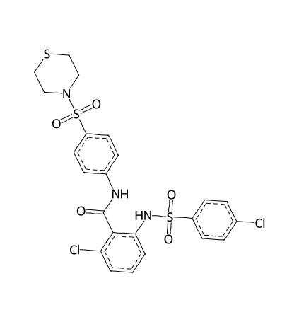 O=C(Nc1ccc(S(=O)(=O)N2CCSCC2)cc1)c1c(Cl)cccc1NS(=O)(=O)c1ccc(Cl)cc1